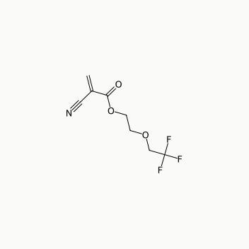 C=C(C#N)C(=O)OCCOCC(F)(F)F